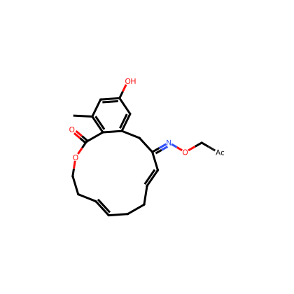 CC(=O)CO/N=C1\C=C\CC/C=C/CCOC(=O)c2c(C)cc(O)cc2C1